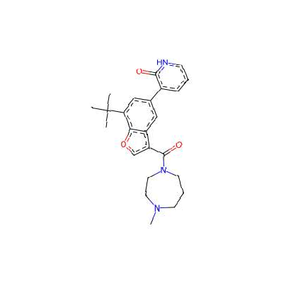 CN1CCCN(C(=O)c2coc3c(C(C)(C)C)cc(-c4ccc[nH]c4=O)cc23)CC1